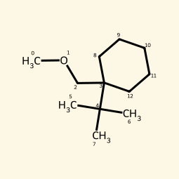 COCC1(C(C)(C)C)CCCCC1